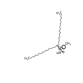 CCCCCCCCCCCCCCCCCCN(C)CCCCCCCCCCCCCCCCC.Cc1ccc(S(=O)(=O)O)cc1